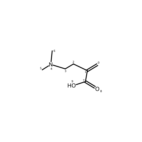 C=C(CCN(C)C)C(=O)O